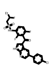 CCC(F)CS(=O)(=O)Nc1ccc(F)c(C(=O)c2c[nH]c3ncc(-c4ccc(Cl)cc4)cc23)c1F